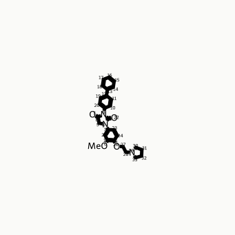 COc1cc(N2CC(=O)N(c3ccc(-c4ccccc4)cc3)C2=O)ccc1OCCN1CCCC1